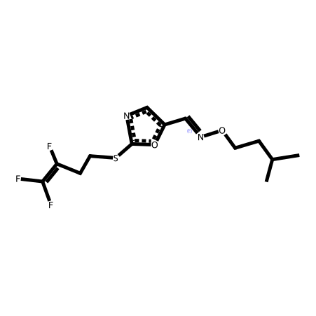 CC(C)CCO/N=C/c1cnc(SCCC(F)=C(F)F)o1